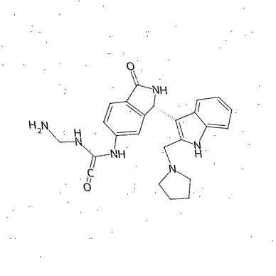 NCNC(=C=O)Nc1ccc2c(c1)[C@@H](c1c(CN3CCCC3)[nH]c3ccccc13)NC2=O